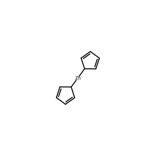 C1=C[CH]([Zn][CH]2C=CC=C2)C=C1